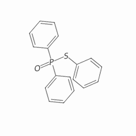 O=P(Sc1ccccc1)(c1ccccc1)c1ccccc1